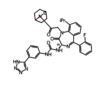 CC(C)c1cccc2c1N(CC(=O)N1CC3CCC(CC3)C1)C(=O)[C@H](NC(=O)Nc1cccc(-c3nnn[nH]3)c1)N=C2c1ccccc1F